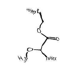 CCCCCCCCOC(=O)C(CCCCCC)OP